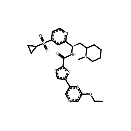 CCOc1cncc(-c2cnc(C(=O)N[C@H](CC3CCCCN3C)c3cc(S(=O)(=O)C4CC4)ccn3)s2)n1